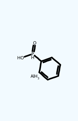 O=[PH](O)c1ccccc1.[AlH3]